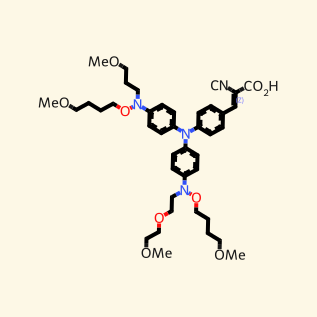 [C-]#[N+]/C(=C\c1ccc(N(c2ccc(N(CCCOC)OCCCCOC)cc2)c2ccc(N(CCOCCOC)OCCCCOC)cc2)cc1)C(=O)O